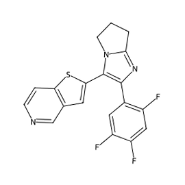 Fc1cc(F)c(-c2nc3n(c2-c2cc4cnccc4s2)CCC3)cc1F